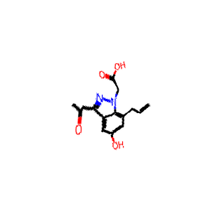 C=CCc1cc(O)cc2c(C(C)=O)nn(CC(=O)O)c12